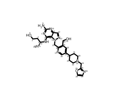 CCC[C@@H](CCO)Nc1nc(N)nc2cnn(Cc3ncc(C4CCN(Cc5ncco5)CC4)cc3CO)c12